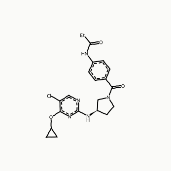 CCC(=O)Nc1ccc(C(=O)N2CC[C@@H](Nc3ncc(Cl)c(OC4CC4)n3)C2)cc1